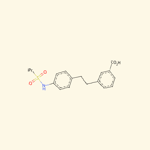 CC(C)S(=O)(=O)Nc1ccc(CCc2cccc(C(=O)O)c2)cc1